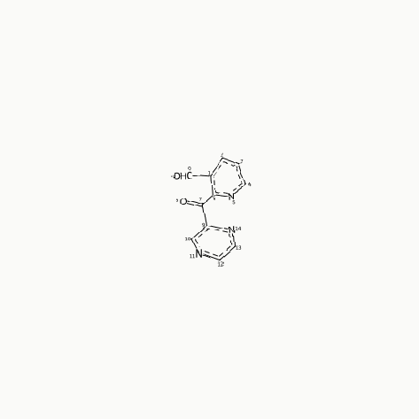 O=[C]c1cccnc1C(=O)c1cnccn1